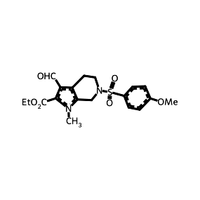 CCOC(=O)c1c(C=O)c2c(n1C)CN(S(=O)(=O)c1ccc(OC)cc1)CC2